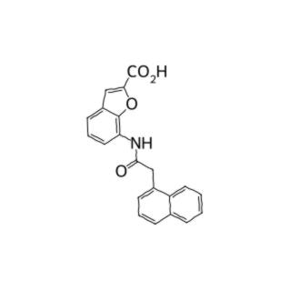 O=C(Cc1cccc2ccccc12)Nc1cccc2cc(C(=O)O)oc12